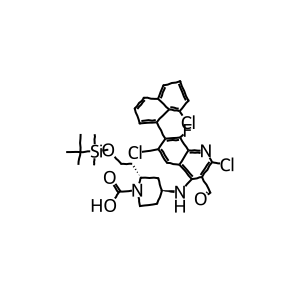 CC(C)(C)[Si](C)(C)OCC[C@@H]1C[C@@H](Nc2c(C=O)c(Cl)nc3c(F)c(-c4cccc5cccc(Cl)c45)c(Cl)cc23)CCN1C(=O)O